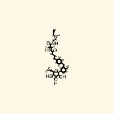 C#CCN(C)CCNC(=O)C(C)(C)NC(=O)C/C=C/c1ccc(Cc2cc([C@@H]3OC(C#SC)[C@@H](O)[C@H](O)[C@H]3O)ccc2C)cc1